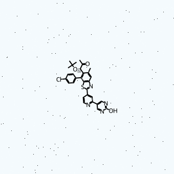 CC(=O)[C@@H](OC(C)(C)C)c1c(C)cc2nc(-c3ccnc(-c4cnc(O)nc4)c3)sc2c1-c1ccc(Cl)cc1